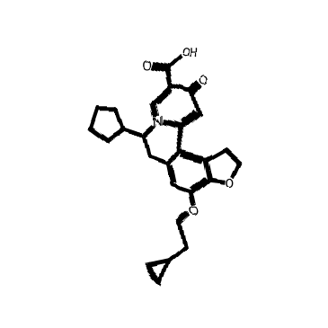 O=C(O)c1cn2c(cc1=O)-c1c(cc(OCCC3CC3)c3c1CCO3)CC2C1CCCC1